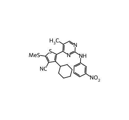 CSc1sc(-c2nc(Nc3cccc([N+](=O)[O-])c3)ncc2C)c(C2CCCCC2)c1C#N